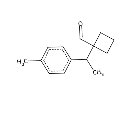 Cc1ccc(C(C)C2(C=O)CCC2)cc1